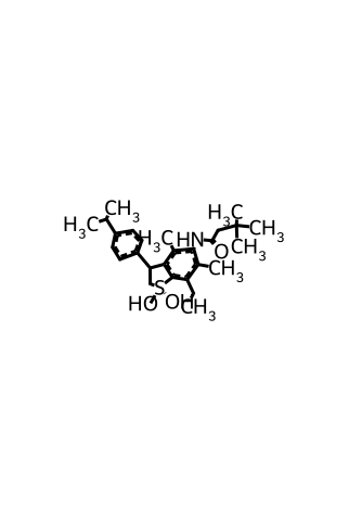 CCc1c(C)c(NC(=O)CC(C)(C)C)c(C)c2c1S(O)(O)CC2c1ccc(C(C)C)cc1